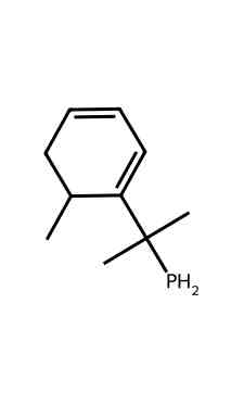 CC1CC=CC=C1C(C)(C)P